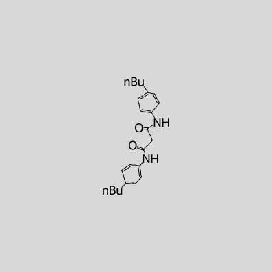 CCCCc1ccc(NC(=O)CC(=O)Nc2ccc(CCCC)cc2)cc1